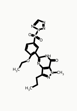 CCCc1nn(C)c2c(=O)[nH]c(-c3cc(S(=O)(=O)n4ncnn4)ccc3OCC)nc12